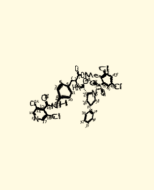 COC(=O)[C@H](Cc1ccc(NC(=O)c2c(Cl)cncc2Cl)cc1)NC(=O)[C@H]1C[C@@H](c2ccccc2)CN1S(=O)(=O)c1cc(Cl)cc(Cl)c1